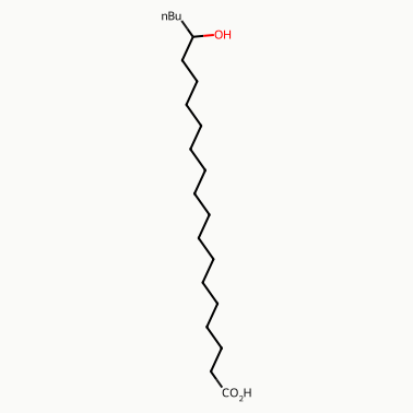 CCCCC(O)CCCCCCCCCCCCCCCC(=O)O